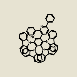 N#Cc1c(-c2ccc(-c3ccccc3)nc2-c2ccccc2)c(-n2c3ccccc3c3ccccc32)c(-n2c3ccccc3c3ccncc32)c(-n2c3ccccc3c3ccncc32)c1-n1c2ccccc2c2ccccc21